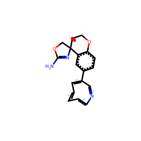 NC1=NC2(CO1)c1cc(C3=C/C=C/C=C/N=C\3)ccc1OCC21COC1